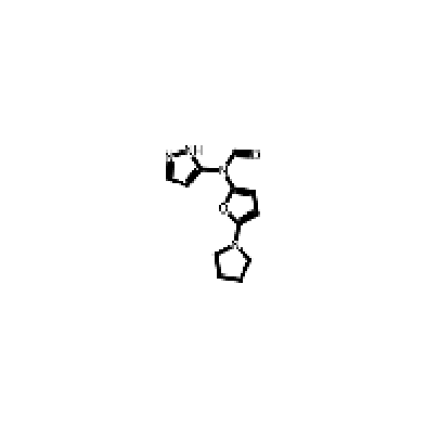 O=CN(c1ccn[nH]1)c1ccc(N2CCCC2)o1